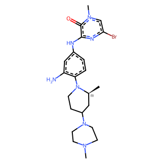 C[C@H]1CC(N2CCN(C)CC2)CCN1c1ccc(Nc2nc(Br)cn(C)c2=O)cc1N